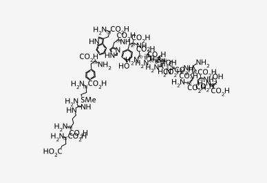 CC(C)[C@H](N)C(=O)O.CC[C@H](C)[C@H](N)C(=O)O.CSCC[C@H](N)C(=O)O.C[C@@H](O)[C@H](N)C(=O)O.C[C@H](N)C(=O)O.N=C(N)NCCC[C@H](N)C(=O)O.NCC(=O)O.NCCCC[C@H](N)C(=O)O.N[C@@H](CC(=O)O)C(=O)O.N[C@@H](CCC(=O)O)C(=O)O.N[C@@H](CO)C(=O)O.N[C@@H](Cc1c[nH]c2ccccc12)C(=O)O.N[C@@H](Cc1c[nH]cn1)C(=O)O.N[C@@H](Cc1ccc(O)cc1)C(=O)O.N[C@@H](Cc1ccccc1)C(=O)O